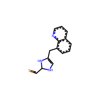 S=CC1NC=C(Cc2cccc3cccnc23)N1